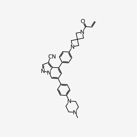 C=CC(=O)N1CC2(C1)CN(c1ccc(-c3cc(-c4ccc(N5CCN(C)CC5)cc4)cn4ncc(C#N)c34)cc1)C2